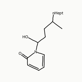 CCCCCCCC(C)CCC(O)n1ccccc1=O